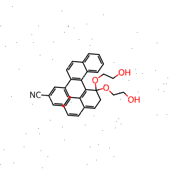 N#Cc1cccc(-c2ccc3ccccc3c2C2=c3ccccc3=CCC2(OCCO)OCCO)c1